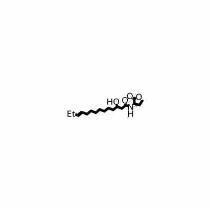 CCC=CCCCCCCCC(O)CC(=O)N[C@H]1CCOC1=O